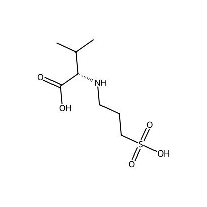 CC(C)[C@H](NCCCS(=O)(=O)O)C(=O)O